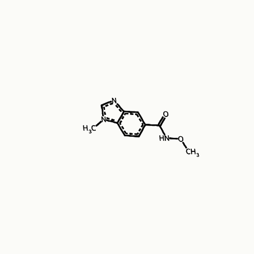 CONC(=O)c1ccc2c(c1)ncn2C